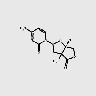 CC12CC(n3ccc(N)nc3=O)O[C@@H]1COC2=O